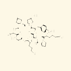 C[C@H](NC(=O)[C@@H](NC(=O)[C@@H]1C[C@@H](O)CN1C(=O)[C@@H]1C[C@@H](O)CN1C(=O)[C@H](Cc1ccc(O)cc1)NC(=O)[C@H](CO)NC(=O)[C@@H]1CCCN1C(=O)[C@@H](N)CCCCN)[C@@H](C)O)C(=O)N[C@@H](CCCCN)C(=O)O